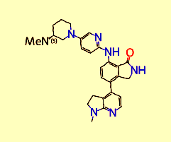 CN[C@H]1CCCN(c2ccc(Nc3ccc(-c4ccnc5c4CCN5C)c4c3C(=O)NC4)nc2)C1